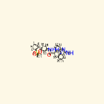 CCS(=O)(=O)c1ccccc1-c1ccc(NC(=O)C(Cc2cccc(C(=N)N)c2)c2ccccc2)cc1